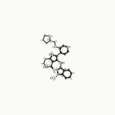 Cn1nc(Nc2c(-c3ccncc3OC[C@H]3CCCO3)[nH]c3c2C(=O)NCC3)c2ccccc21